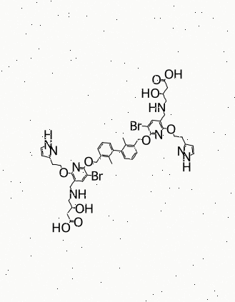 Cc1c(COc2nc(OCCc3cc[nH]n3)c(CNC[C@@H](O)CC(=O)O)cc2Br)cccc1-c1cccc(COc2nc(OCCc3cc[nH]n3)c(CNC[C@@H](O)CC(=O)O)cc2Br)c1C